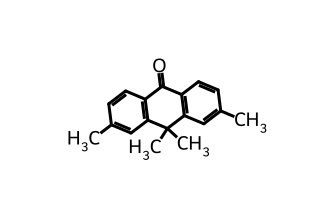 Cc1ccc2c(c1)C(C)(C)c1cc(C)ccc1C2=O